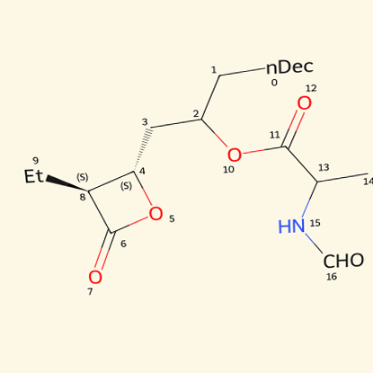 CCCCCCCCCCCC(C[C@@H]1OC(=O)[C@H]1CC)OC(=O)C(C)NC=O